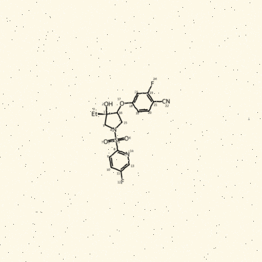 CC[C@]1(O)CN(S(=O)(=O)c2ccc(F)cn2)CC1Oc1ccc(C#N)c(F)c1